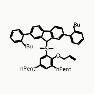 C=CCOc1c(CCCCC)cc(CCCCC)cc1[Si](C)(C)C1c2cc(-c3ccccc3C(C)CC)ccc2-c2ccc(-c3ccccc3C(C)CC)cc21